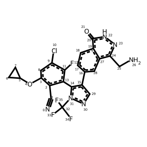 N#Cc1c(OC2CC2)cc(Cl)c(F)c1-c1c(-c2ccc3c(=O)[nH]nc(CN)c3c2)cnn1C(F)(F)F